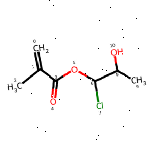 C=C(C)C(=O)OC(Cl)C(C)O